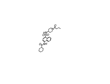 CCCC(=O)N1CCC(NS(=O)(=O)c2ccc(NC(=O)C3CCCCC3)c3ccccc23)CC1